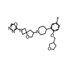 Fc1ccc(OCC2CCOC2)c(C2CCN(C3COC4(C3)CN(c3nnco3)C4)CC2)c1